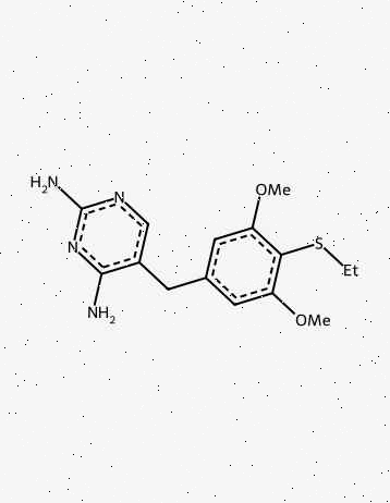 CCSc1c(OC)cc(Cc2cnc(N)nc2N)cc1OC